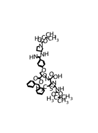 Cc1sc(NC(=O)OC(C)(C)C)nc1/C(=N/OC(COc1ccc(C(=N)NC2CCN(C(=O)OC(C)(C)C)C2)cc1)C(=O)OC(c1ccccc1)c1ccccc1)C(=O)O